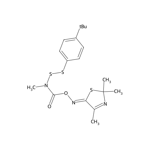 CC1=NC(C)(C)SC1=NOC(=O)N(C)SSc1ccc(C(C)(C)C)cc1